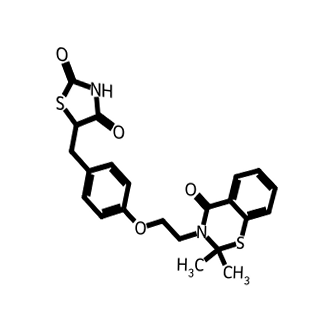 CC1(C)Sc2ccccc2C(=O)N1CCOc1ccc(CC2SC(=O)NC2=O)cc1